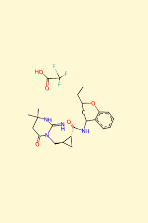 CCC1CC(NC(=O)[C@@H]2C[C@H]2CN2C(=N)NC(C)(C)CC2=O)c2ccccc2O1.O=C(O)C(F)(F)F